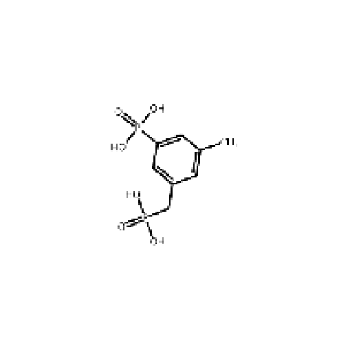 Cc1cc(CP(=O)(O)O)cc(P(=O)(O)O)c1